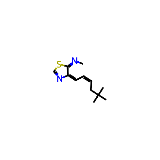 C/N=C1/SC=N/C1=C/C=C\CC(C)(C)C